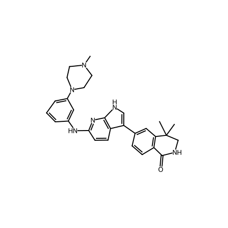 CN1CCN(c2cccc(Nc3ccc4c(-c5ccc6c(c5)C(C)(C)CNC6=O)c[nH]c4n3)c2)CC1